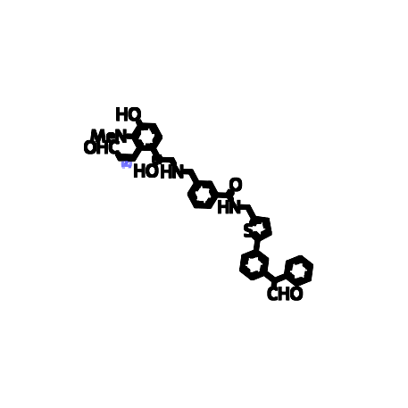 CNc1c(O)ccc([C@@H](O)CNCc2cccc(C(=O)NCc3ccc(-c4cccc(C(C=O)c5ccccc5)c4)s3)c2)c1/C=C\C=O